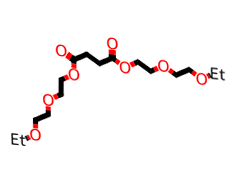 CCOCCOCCOC(=O)CCC(=O)OCCOCCOCC